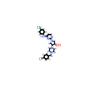 OC1CN(c2nccc(Nc3ccc(Cl)cc3)n2)CC1N1CCN(Cc2ccc(Cl)cc2)CC1